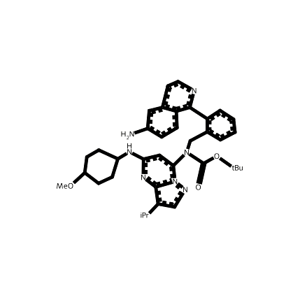 COC1CCC(Nc2cc(N(Cc3ccccc3-c3nccc4cc(N)ccc34)C(=O)OC(C)(C)C)n3ncc(C(C)C)c3n2)CC1